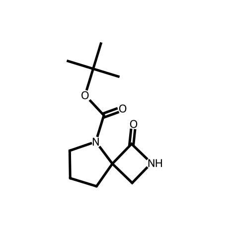 CC(C)(C)OC(=O)N1CCCC12CNC2=O